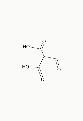 O=CC(C(=O)O)C(=O)O